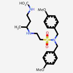 COc1ccc(CN(Cc2ccc(OC)cc2)S(=O)(=O)CCNC(C)CCNC(=O)O)cc1